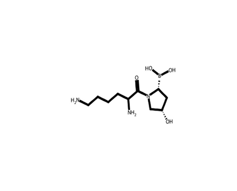 NCCCCC(N)C(=O)N1C[C@@H](O)C[C@H]1B(O)O